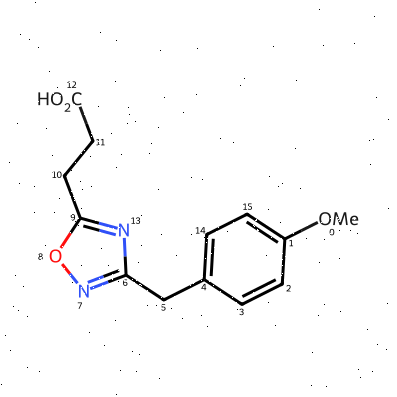 COc1ccc(Cc2noc(CCC(=O)O)n2)cc1